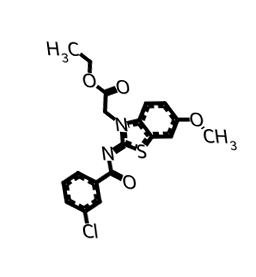 CCOC(=O)Cn1/c(=N/C(=O)c2cccc(Cl)c2)sc2cc(OC)ccc21